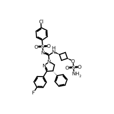 NS(=O)(=O)O[C@H]1C[C@@H](N/C(=N\S(=O)(=O)c2ccc(Cl)cc2)N2C[C@H](c3ccccc3)C(c3ccc(F)cc3)=N2)C1